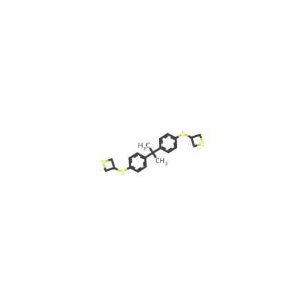 CC(C)(c1ccc(SC2CSC2)cc1)c1ccc(SC2CSC2)cc1